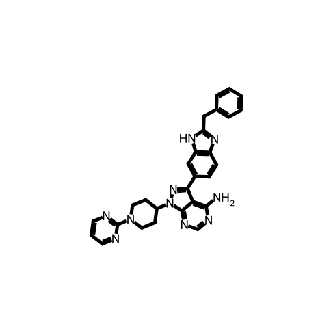 Nc1ncnc2c1c(-c1ccc3nc(Cc4ccccc4)[nH]c3c1)nn2C1CCN(c2ncccn2)CC1